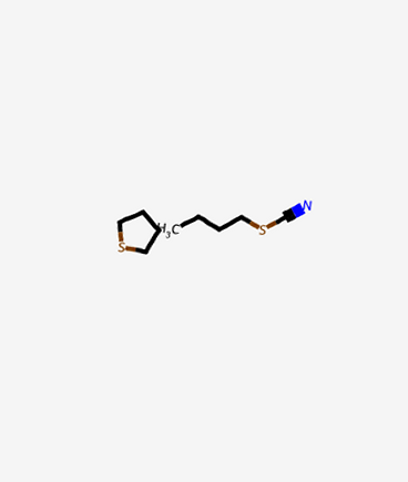 C1CCSC1.CCCCSC#N